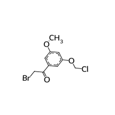 COc1cc(OCCl)cc(C(=O)CBr)c1